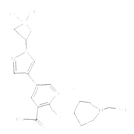 NC(=O)c1cc(-c2cnn(C3CS(O)(O)C3)c2)cnc1O[C@H]1CCN(C(=O)O)C[C@H]1F